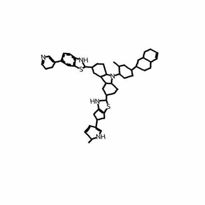 CC1C=CC(C2CC3=C(C2)SC(C2CCC4C(C2)C2CC(C5Nc6ccc(C7=CN=CCC7)cc6S5)CCC2N4C2CCC(C4CCC5C=CCCC5C4)CC2C)N3)=CN1